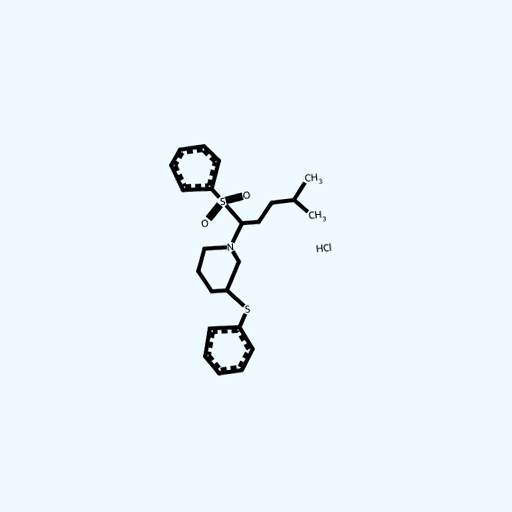 CC(C)CCC(N1CCCC(Sc2ccccc2)C1)S(=O)(=O)c1ccccc1.Cl